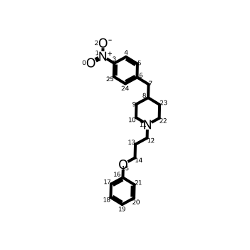 O=[N+]([O-])c1ccc(CC2CCN(CCCOc3ccccc3)CC2)cc1